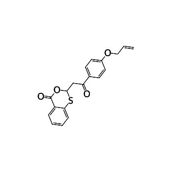 C=CCOc1ccc(C(=O)CC2OC(=O)c3ccccc3S2)cc1